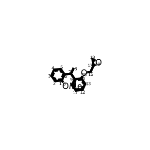 COc1ccccc1C(C)c1ccccc1OCC1CO1